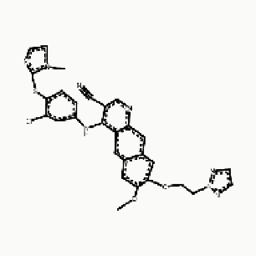 COc1cc2cc3c(Nc4ccc(Sc5nccn5C)c(Cl)c4)c(C#N)cnc3cc2cc1OCCn1nccn1